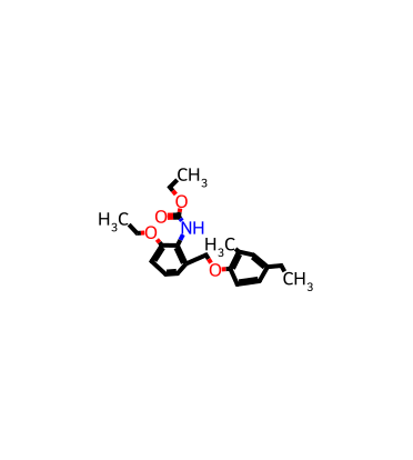 CCOC(=O)Nc1c(COc2ccc(CC)cc2C)cccc1OCC